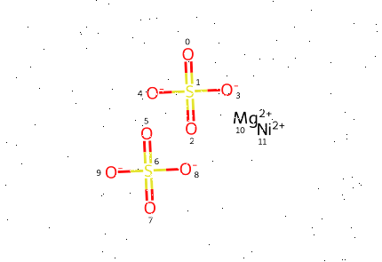 O=S(=O)([O-])[O-].O=S(=O)([O-])[O-].[Mg+2].[Ni+2]